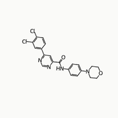 O=C(Nc1ccc(N2CCOCC2)cc1)c1cc(-c2ccc(Cl)c(Cl)c2)ncn1